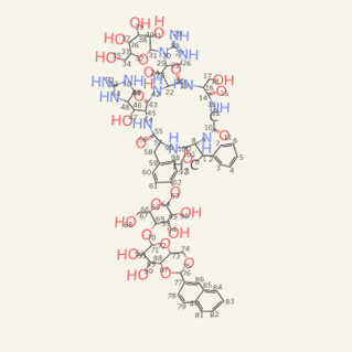 CC(c1ccccc1)C1NC(=O)CNC(=O)C(CO)NC(=O)C(C(O)C2CNC(=N)N2C2OC(CO)C(O)C(O)C2O)NC(=O)C(C(O)C2CNC(=N)N2)NC(=O)C(Cc2ccc(OC3OC(CO)C(OC4OC5COC(c6ccc7ccccc7c6)OC5C(O)C4O)C(O)C3O)cc2)NC1=O